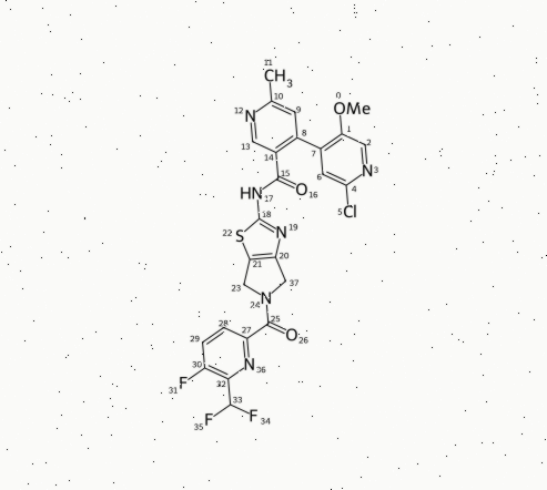 COc1cnc(Cl)cc1-c1cc(C)ncc1C(=O)Nc1nc2c(s1)CN(C(=O)c1ccc(F)c(C(F)F)n1)C2